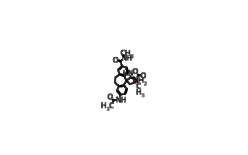 CNC(=O)c1ccc2c(c1)CCc1cc(NC(C)=O)ccc1C2(C[C@@H](C)N)c1nc(=O)o[nH]1